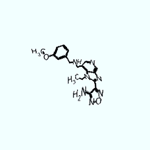 CCn1c(-c2nonc2N)nc2cncc(CNCc3cccc(OC)c3)c21